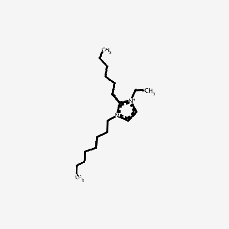 CCCCCCCCn1cc[n+](CC)c1CCCCCC